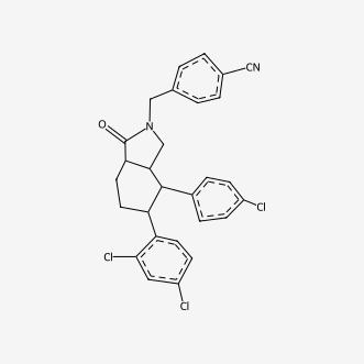 N#Cc1ccc(CN2CC3C(CCC(c4ccc(Cl)cc4Cl)C3c3ccc(Cl)cc3)C2=O)cc1